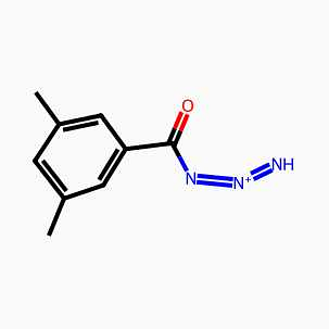 Cc1cc(C)cc(C(=O)N=[N+]=N)c1